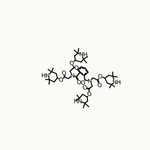 CC1(C)CC(OC(=O)CN(CC(=O)OC2CC(C)(C)NC(C)(C)C2)C(=O)c2ccccc2C(=O)N(CC(=O)OC2CC(C)(C)NC(C)(C)C2)CC(=O)OC2CC(C)(C)NC(C)(C)C2)CC(C)(C)N1